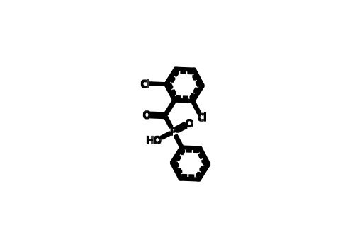 O=C(c1c(Cl)cccc1Cl)P(=O)(O)c1ccccc1